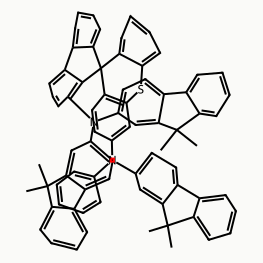 CC1(C)c2ccccc2-c2ccc(N(c3ccccc3)c3ccc4c(c3)Sc3ccccc3C43c4ccccc4-c4cccc(N(c5ccc6c(c5)C(C)(C)c5ccccc5-6)c5ccc6c(c5)C(C)(C)c5ccccc5-6)c43)cc21